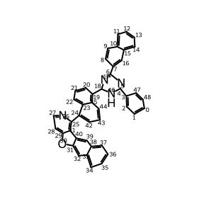 c1ccc(C2=NC(c3ccc4ccccc4c3)=NC(c3cccc4c(-c5nccc6oc7cc8ccccc8cc7c56)cccc34)N2)cc1